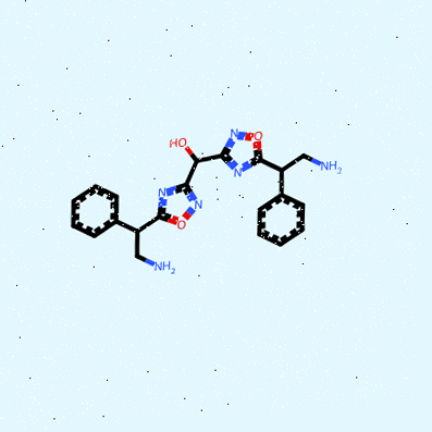 NCC(c1ccccc1)c1nc(C(O)c2noc(C(CN)c3ccccc3)n2)no1